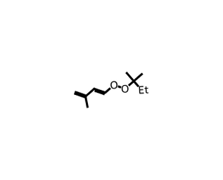 C=C(C)C=COOC(C)(C)CC